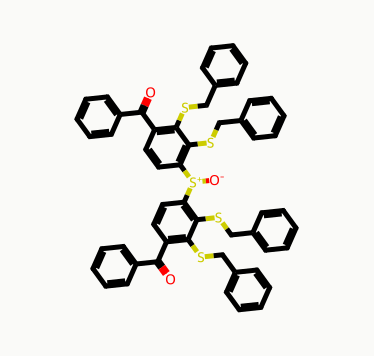 O=C(c1ccccc1)c1ccc([S+]([O-])c2ccc(C(=O)c3ccccc3)c(SCc3ccccc3)c2SCc2ccccc2)c(SCc2ccccc2)c1SCc1ccccc1